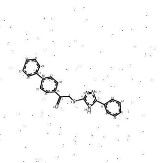 O=C(CSc1nnc(-c2ccccc2)[nH]1)c1ccc(-c2ccccc2)cc1